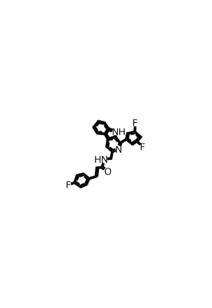 O=C(/C=C/c1ccc(F)cc1)NCc1cc2c([nH]c3ccccc32)c(-c2cc(F)cc(F)c2)n1